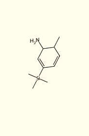 CC1C=CC([Si](C)(C)C)=CC1N